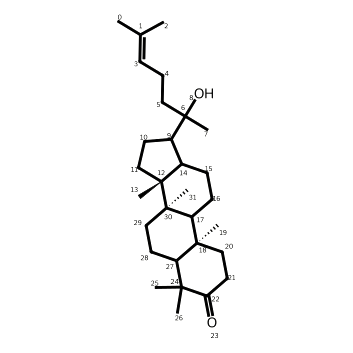 CC(C)=CCCC(C)(O)C1CC[C@]2(C)C1CCC1[C@@]3(C)CCC(=O)C(C)(C)C3CC[C@]12C